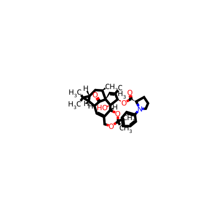 CC1=C[C@]23C(=O)[C@@H](C=C4COC(C)(C)O[C@H]4[C@]2(O)[C@H]1OC(=O)[C@@H]1CCCN1c1ccccc1)[C@H]1[C@@H](C[C@H]3C)C1(C)C